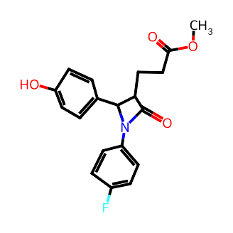 COC(=O)CCC1C(=O)N(c2ccc(F)cc2)C1c1ccc(O)cc1